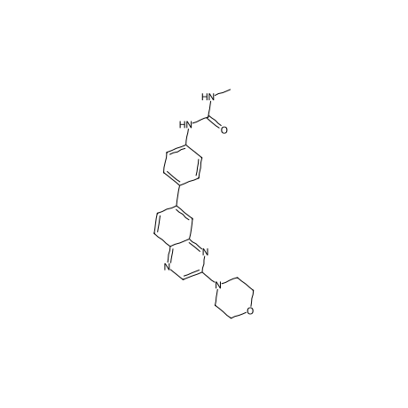 CNC(=O)Nc1ccc(-c2ccc3ncc(N4CCOCC4)nc3c2)cc1